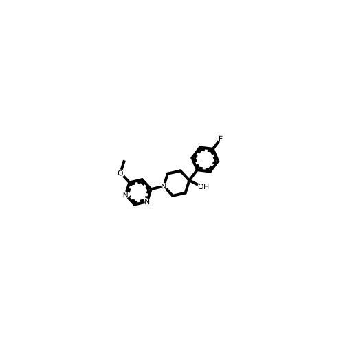 COc1cc(N2CCC(O)(c3ccc(F)cc3)CC2)ncn1